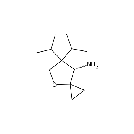 CC(C)C1(C(C)C)COC2(CC2)[C@H]1N